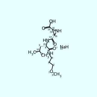 COCCCNC(=O)[C@H](CC(C)C)NC(=O)[C@H]1N[C@@H]1C(=O)O.[NaH]